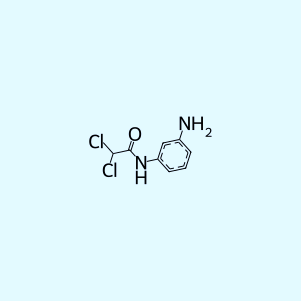 Nc1cccc(NC(=O)C(Cl)Cl)c1